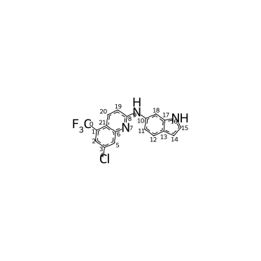 FC(F)(F)c1cc(Cl)cc2nc(Nc3ccc4cc[nH]c4c3)ccc12